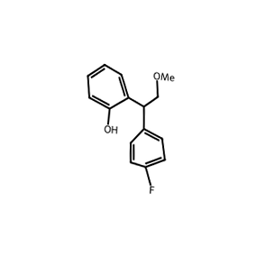 COCC(c1ccc(F)cc1)c1ccccc1O